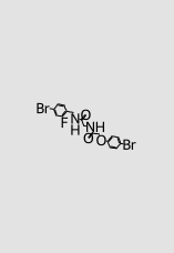 O=C(CNC(=O)COc1ccc(Br)cc1)NCc1ccc(Br)cc1F